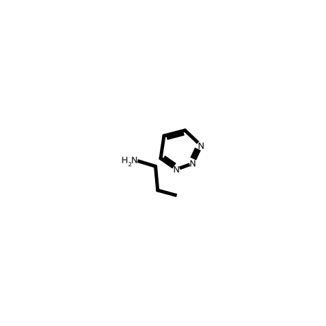 CCCN.c1cnnnc1